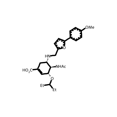 CCC(CC)O[C@@H]1C=C(C(=O)O)C[C@H](NCc2ccc(-c3ccc(OC)cc3)o2)[C@H]1NC(C)=O